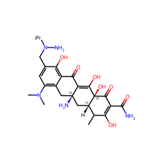 CC1C(O)=C(C(N)=O)C(=O)[C@@]2(O)C(O)=C3C(=O)c4c(O)c(CN(N)C(C)C)cc(N(C)C)c4C[C@@]3(N)C[C@@H]12